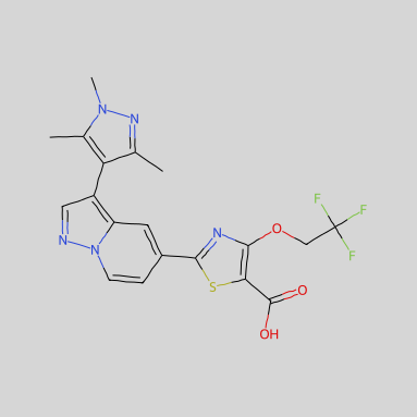 Cc1nn(C)c(C)c1-c1cnn2ccc(-c3nc(OCC(F)(F)F)c(C(=O)O)s3)cc12